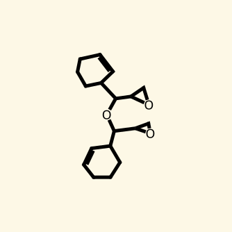 C1=CC(C(OC(C2C=CCCC2)C2CO2)C2CO2)CCC1